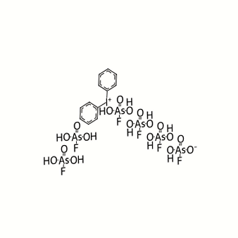 O=[As](O)(O)F.O=[As](O)(O)F.O=[As](O)(O)F.O=[As](O)(O)F.O=[As](O)(O)F.O=[As]([O-])(O)F.c1ccc([I+]c2ccccc2)cc1